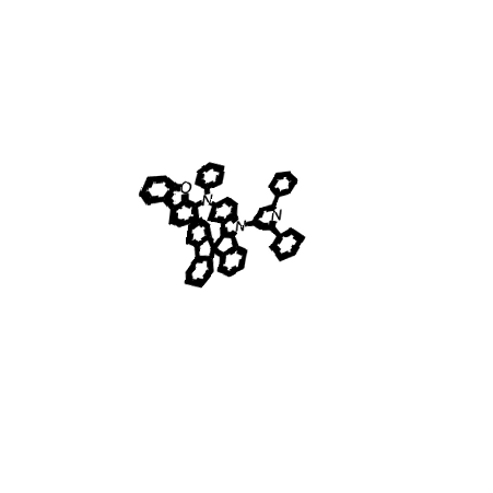 c1ccc(-c2cc(-n3c4c(c5cc(N(c6ccccc6)c6cccc7c6oc6ccccc67)ccc53)C3(c5ccccc5-c5ccccc53)c3ccccc3-4)cc(-c3ccccc3)n2)cc1